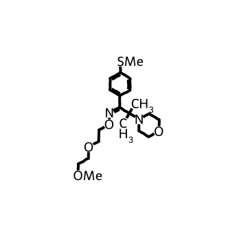 COCCOCCO/N=C(/c1ccc(SC)cc1)C(C)(C)N1CCOCC1